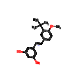 COc1ccc(/C=C/c2cc(O)cc(O)c2)cc1C(C)(C)C